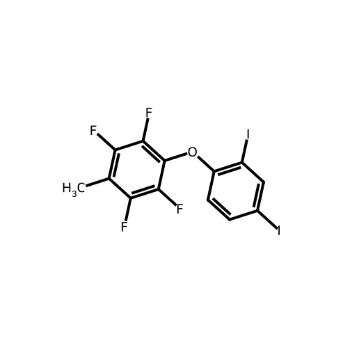 Cc1c(F)c(F)c(Oc2ccc(I)cc2I)c(F)c1F